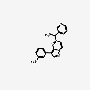 Nc1cccc(-c2cnn3ccc(C(N)c4cccnc4)nc23)c1